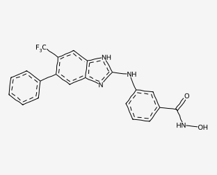 O=C(NO)c1cccc(Nc2nc3cc(-c4ccccc4)c(C(F)(F)F)cc3[nH]2)c1